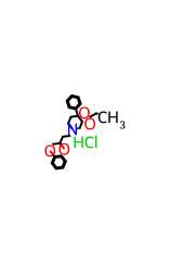 CCC(=O)OC1(c2ccccc2)CCN(CCC2COc3ccccc3O2)CC1.Cl